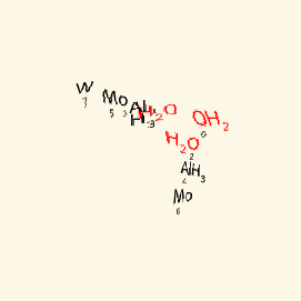 O.O.O.[AlH3].[AlH3].[Mo].[Mo].[W]